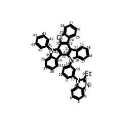 CCc1nc2ccccc2n1-c1cccc(-n2c3ccccc3c3c4c5ccccc5oc4c4c(c5ccccc5n4-c4ccccc4)c32)c1